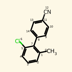 Cc1[c]ccc(Cl)c1-c1ccc(C#N)cc1